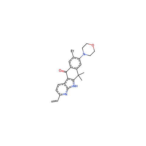 C=Cc1ccc2c3c([nH]c2n1)C(C)(C)c1cc(N2CCOCC2)c(CC)cc1C3=O